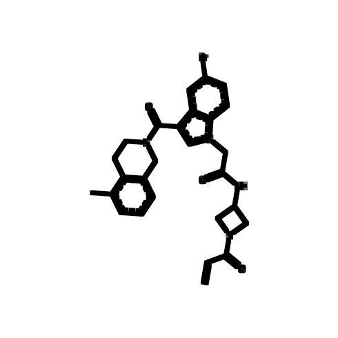 C=CC(=O)N1CC(NC(=O)Cn2cc(C(=O)N3CCc4c(C)cccc4C3)c3cc(Br)ccc32)C1